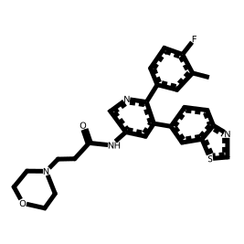 Cc1cc(-c2ncc(NC(=O)CCN3CCOCC3)cc2-c2ccc3ncsc3c2)ccc1F